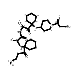 CC(C)[C@H](NC1(C(=O)CCNC(C)(C)C)CCCCC1)C(=O)N[C@@H](C)C(=O)C1(OC2CCN(C(=O)CC(C)(C)C)CC2)CCCCC1